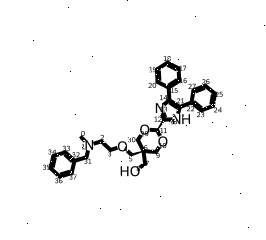 CN(CCOC[C@]1(CO)CO[C@H](c2nc(-c3ccccc3)c(-c3ccccc3)[nH]2)OC1)Cc1ccccc1